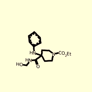 CCOC(=O)N1CCC(Nc2ccccc2)(C(=O)NCO)CC1